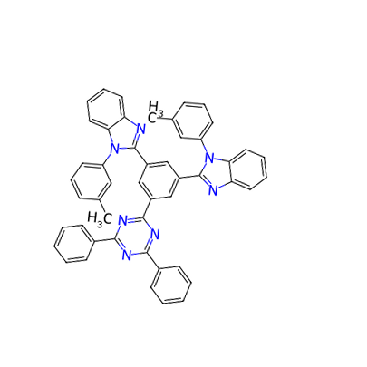 Cc1cccc(-n2c(-c3cc(-c4nc(-c5ccccc5)nc(-c5ccccc5)n4)cc(-c4nc5ccccc5n4-c4cccc(C)c4)c3)nc3ccccc32)c1